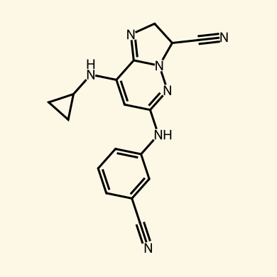 N#Cc1cccc(NC2=NN3C(=NCC3C#N)C(NC3CC3)=C2)c1